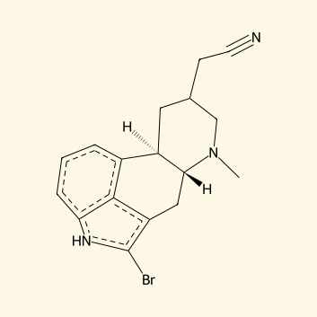 CN1CC(CC#N)C[C@@H]2c3cccc4[nH]c(Br)c(c34)C[C@H]21